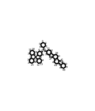 c1ccc(N(c2ccc(C3(c4ccccc4)c4ccccc4-c4ccccc43)cc2)c2ccc3c(c2)sc2c3ccc3c2ccc2c4ccccc4sc23)cc1